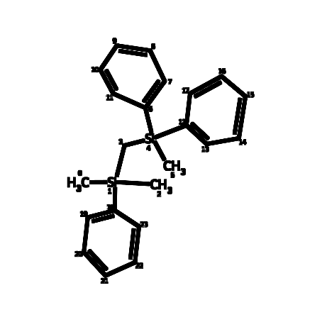 C[Si](C)(C[Si](C)(c1ccccc1)c1ccccc1)c1ccccc1